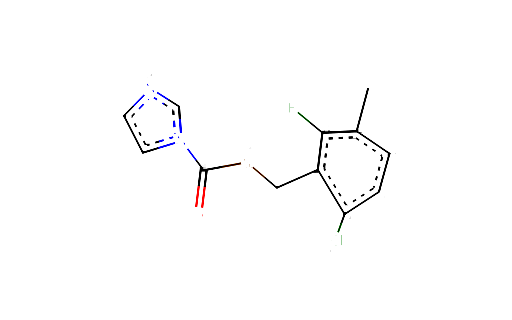 Cc1ccc(Cl)c(CSC(=O)n2ccnc2)c1F